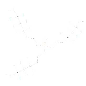 O=P(OCCC(F)(F)C(F)(F)C(F)(F)C(F)(F)F)(OCCC(F)(F)C(F)(F)C(F)(F)C(F)(F)F)OCCC(F)(F)C(F)(F)C(F)(F)C(F)(F)F